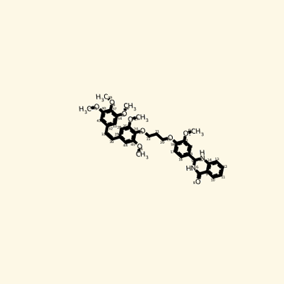 COc1cc(C2NC(=O)c3ccccc3N2)ccc1OCCCOc1c(OC)cc(/C=C\c2cc(OC)c(OC)c(OC)c2)cc1OC